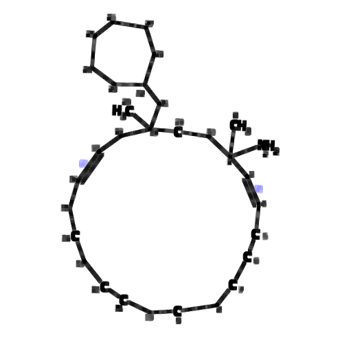 CC1(N)/C=C\CCCCCCCCCCC/C=C\CC(C)(CC2CCCCCC2)CC1